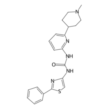 CN1CCC(c2cccc(NC(=O)Nc3csc(-c4ccccc4)n3)n2)CC1